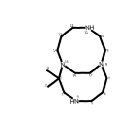 CC1(C)CNCCCN2CCNCCCN1CC2